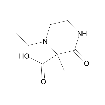 CCN1CCNC(=O)C1(C)C(=O)O